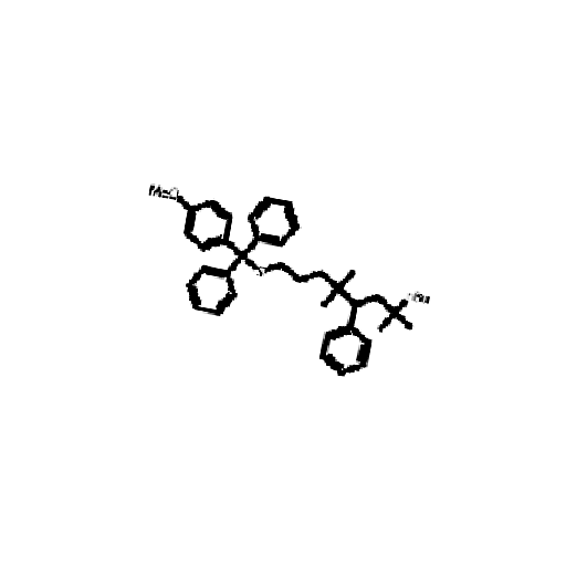 CCCCC(C)(C)CC(c1ccccc1)C(C)(C)CCCSC(c1ccccc1)(c1ccccc1)c1ccc(OC)cc1